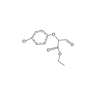 CCOC(=O)C(C=O)Oc1ccc(Cl)cc1